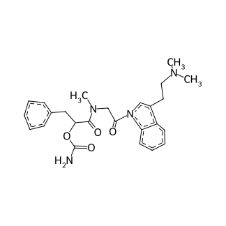 CN(C)CCc1cn(C(=O)CN(C)C(=O)C(Cc2ccccc2)OC(N)=O)c2ccccc12